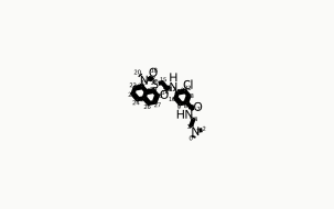 CN(C)CCNC(=O)c1ccc(NC(=O)CSC(=O)N(C)c2cccc3ccccc23)c(Cl)c1